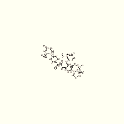 CCc1nc(C)ccc1-c1cc(C(=O)N2CCN(c3ncc(F)cc3OC)CC2)cc2cc(C3=CCCNC3)n(CC3CC3)c12